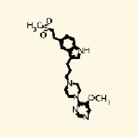 COc1cncnc1N1CCN(CCCc2c[nH]c3ccc(CCS(C)(=O)=O)cc23)CC1